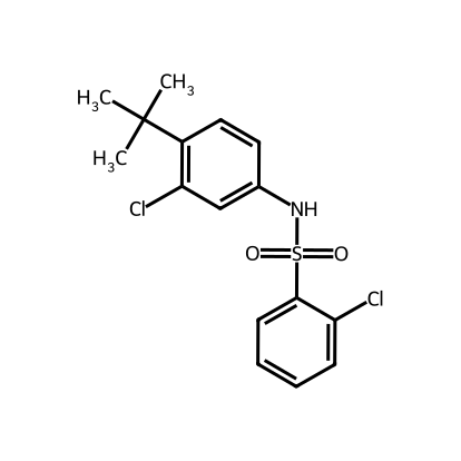 CC(C)(C)c1ccc(NS(=O)(=O)c2ccccc2Cl)cc1Cl